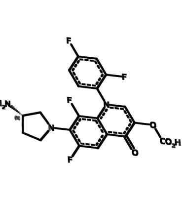 N[C@H]1CCN(c2c(F)cc3c(=O)c(OC(=O)O)cn(-c4ccc(F)cc4F)c3c2F)C1